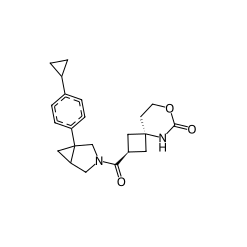 O=C1N[C@]2(CCO1)C[C@H](C(=O)N1CC3CC3(c3ccc(C4CC4)cc3)C1)C2